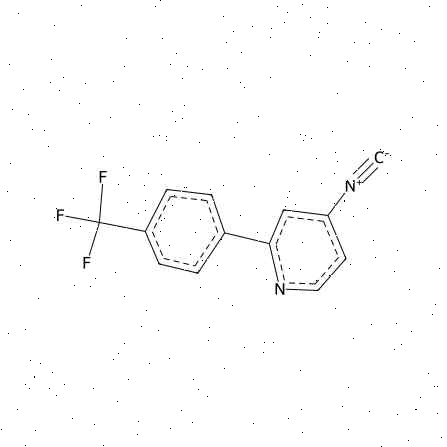 [C-]#[N+]c1ccnc(-c2ccc(C(F)(F)F)cc2)c1